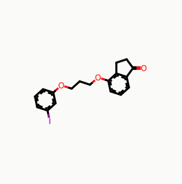 O=C1CCc2c(OCCCOc3cccc(I)c3)cccc21